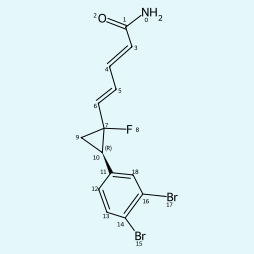 NC(=O)C=CC=CC1(F)C[C@@H]1c1ccc(Br)c(Br)c1